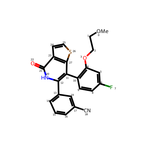 COCCOc1cc(F)ccc1-c1c(-c2cccc(C#N)c2)[nH]c(=O)c2ccsc12